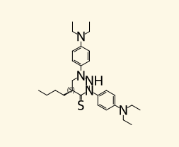 CCCC[C@H]1CN(c2ccc(N(CC)CC)cc2)NN(c2ccc(N(CC)CC)cc2)C1=S